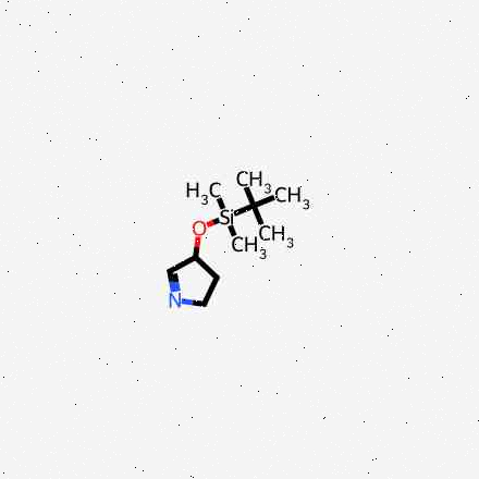 CC(C)(C)[Si](C)(C)OC1C=NCC1